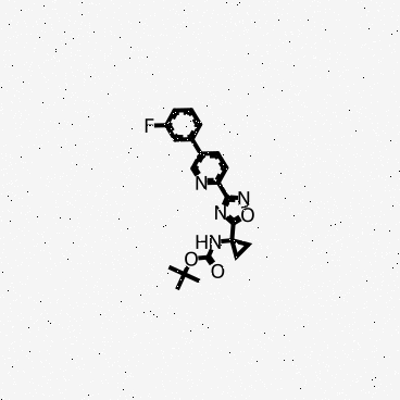 CC(C)(C)OC(=O)NC1(c2nc(-c3ccc(-c4cccc(F)c4)cn3)no2)CC1